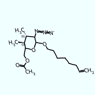 C=CCCCCCCOC1OC(COC(C)=O)[C@@H](C)[C@H](C)C1N=[N+]=[N-]